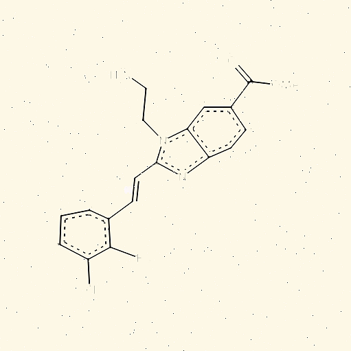 COC(=O)c1ccc2nc(/C=C/c3cccc(Cl)c3F)n(CCN)c2c1